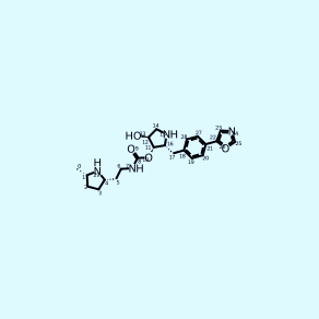 C[C@H]1CC[C@@H](CCNC(=O)O[C@@H]2[C@@H](O)CN[C@@H]2Cc2ccc(-c3cnco3)cc2)N1